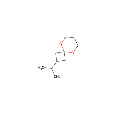 CC(C)C1CC2(C1)OCCCO2